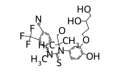 CN(C(=S)N(c1ccc(O)c(OCCC(O)CO)c1)C(C)(C)C=O)c1ccc(C#N)c(C(F)(F)F)c1